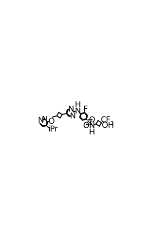 CC(C)c1ccnnc1OCC1CC(c2cnc(Nc3ccc(S(=O)(=O)NC4CC(O)(C(F)(F)F)C4)cc3F)nc2)C1